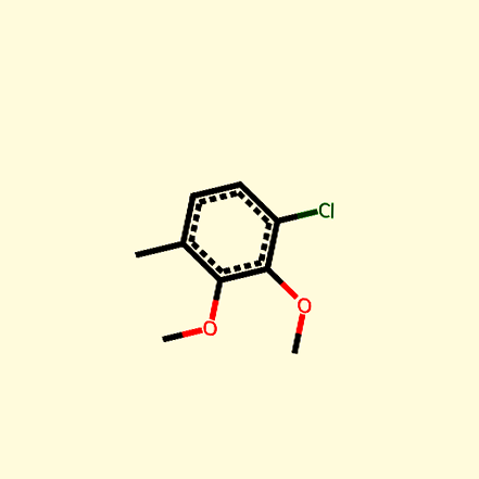 COc1c(C)ccc(Cl)c1OC